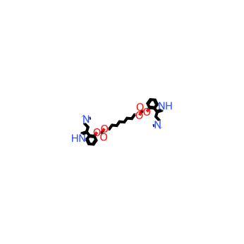 CN(C)CCc1c[nH]c2cccc(OC(=O)OCCCCCCCCOC(=O)Oc3cccc4[nH]cc(CCN(C)C)c34)c12